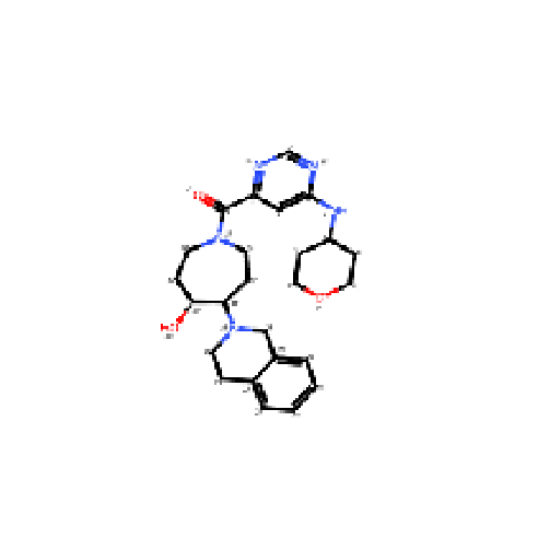 O=C(c1cc(NC2CCOCC2)ncn1)N1CCC(N2CCc3ccccc3C2)[C@@H](O)CC1